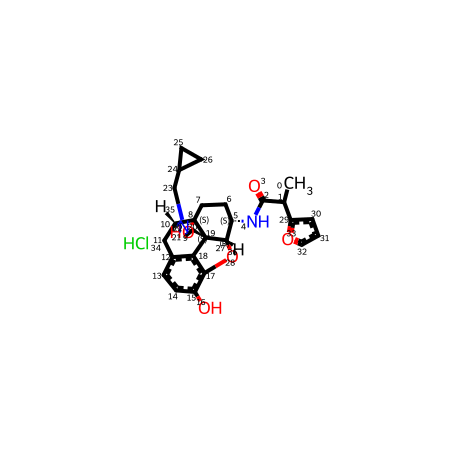 CC(C(=O)N[C@H]1CC[C@@]2(O)[C@H]3Cc4ccc(O)c5c4[C@@]2(CCN3CC2CC2)[C@H]1O5)c1ccco1.Cl